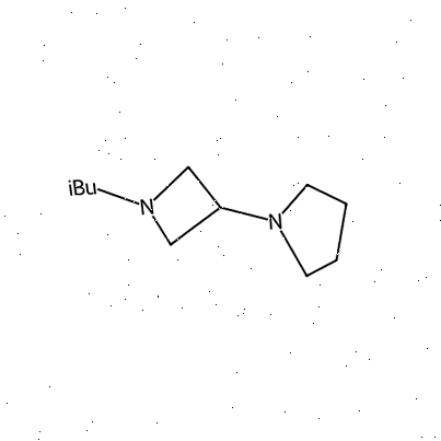 CCC(C)N1CC(N2CCCC2)C1